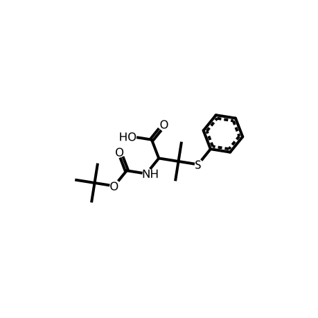 CC(C)(C)OC(=O)NC(C(=O)O)C(C)(C)Sc1ccccc1